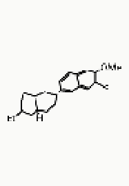 CCC1CCC2C[C@H](c3ccc4cc(OC)c(F)cc4c3)CC[C@@H]2C1